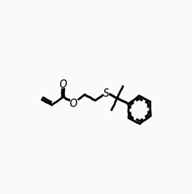 C=CC(=O)OCCSC(C)(C)c1ccccc1